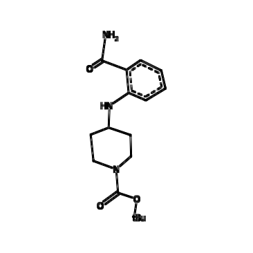 CC(C)(C)OC(=O)N1CCC(Nc2ccccc2C(N)=O)CC1